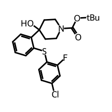 CC(C)(C)OC(=O)N1CCC(O)(c2ccccc2Sc2ccc(Cl)cc2F)CC1